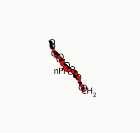 C=CC(=O)OCCCCCCOc1ccc2cc(C(=O)Oc3ccc(OC(=O)c4ccc5cc(OC(=O)c6ccc(OCCCCOCC7CO7)cc6)ccc5c4)c(CCC)c3)ccc2c1